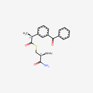 CC(=O)N[C@H](CSC(=O)[C@@H](C)c1cccc(C(=O)c2ccccc2)c1)C(N)=O